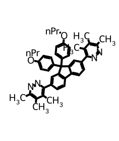 CCCOc1ccc(C2(c3ccc(OCCC)cc3)c3cc(-c4nnc(C)c(C)c4C)ccc3-c3ccc(-c4nnc(C)c(C)c4C)cc32)cc1